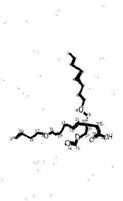 CCCCCCCCOC[C@@](CCCCCOCCCC)(COC=O)CC(=O)O